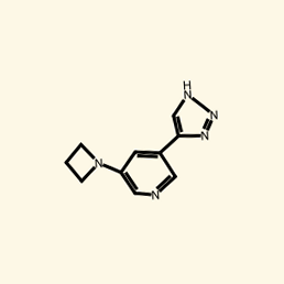 c1ncc(N2CCC2)cc1-c1c[nH]nn1